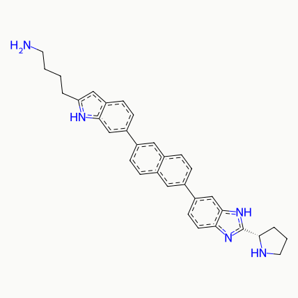 NCCCCc1cc2ccc(-c3ccc4cc(-c5ccc6nc([C@@H]7CCCN7)[nH]c6c5)ccc4c3)cc2[nH]1